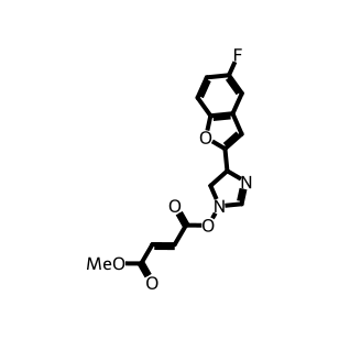 COC(=O)/C=C/C(=O)ON1C=NC(c2cc3cc(F)ccc3o2)C1